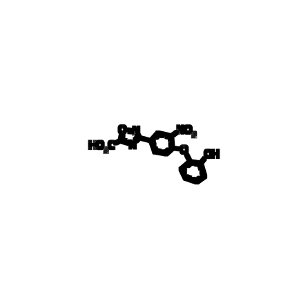 O=C(O)c1nc(-c2ccc(Oc3ccccc3O)c([N+](=O)[O-])c2)no1